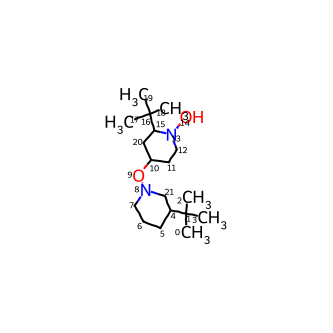 CC(C)(C)C1CCCN(OC2CCN(O)C(C(C)(C)C)C2)C1